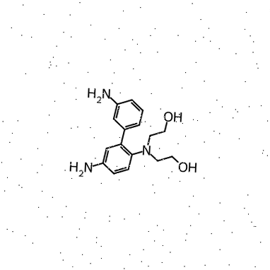 Nc1cccc(-c2cc(N)ccc2N(CCO)CCO)c1